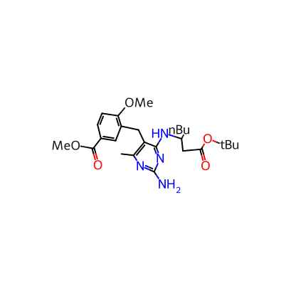 CCCCC(CC(=O)OC(C)(C)C)Nc1nc(N)nc(C)c1Cc1cc(C(=O)OC)ccc1OC